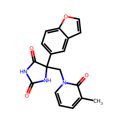 Cc1cccn(CC2(c3ccc4occc4c3)NC(=O)NC2=O)c1=O